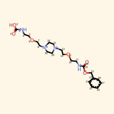 O=C(O)NCCOCCN1CCN(CCOCCNC(=O)OCc2ccccc2)CC1